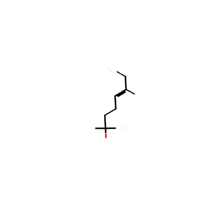 CC(=CCCC(C)(C)O)CC#N